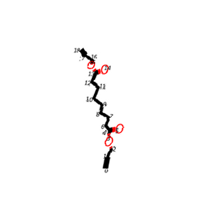 C#CCOC(=O)CCCCCCCC(=O)OCC#C